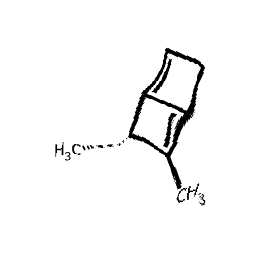 CC1=C2CC=C2[C@H]1C